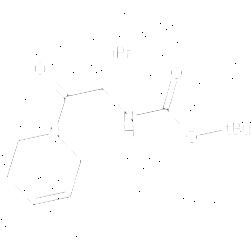 CC(C)[C@H](NC(=O)OC(C)(C)C)C(=O)N1CC=CCC1